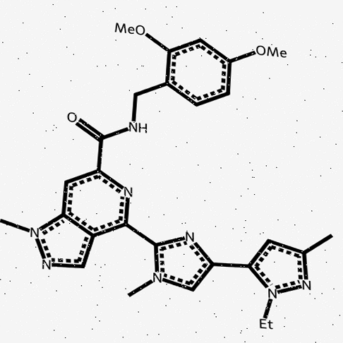 CCn1nc(C)cc1-c1cn(C)c(-c2nc(C(=O)NCc3ccc(OC)cc3OC)cc3c2cnn3C)n1